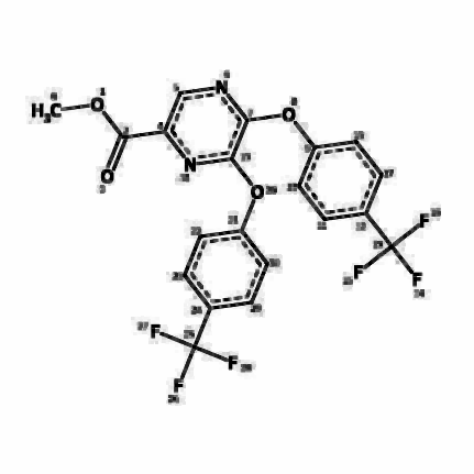 COC(=O)c1cnc(Oc2ccc(C(F)(F)F)cc2)c(Oc2ccc(C(F)(F)F)cc2)n1